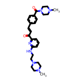 CN1CCN(CCNc2cccc(C(=O)C=Cc3ccc(C(=O)N4CCN(C)CC4)cc3)n2)CC1